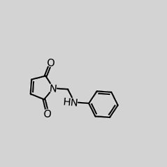 O=C1C=CC(=O)N1CNc1ccccc1